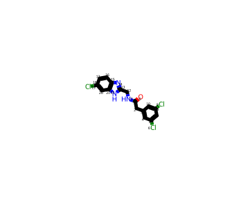 O=C(Cc1cc(Cl)cc(Cl)c1)NCc1nc2ccc(Cl)cc2[nH]1